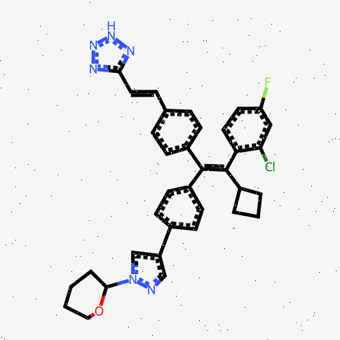 Fc1ccc(/C(=C(\c2ccc(/C=C/c3nn[nH]n3)cc2)c2ccc(-c3cnn(C4CCCCO4)c3)cc2)C2CCC2)c(Cl)c1